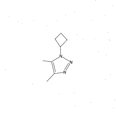 Cc1nnn(C2CCC2)c1C